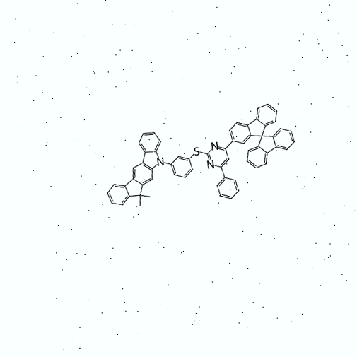 CC1(C)c2ccccc2-c2cc3c4ccccc4n(-c4cccc(Sc5nc(-c6ccccc6)cc(-c6ccc7c(c6)C6(c8ccccc8-c8ccccc86)c6ccccc6-7)n5)c4)c3cc21